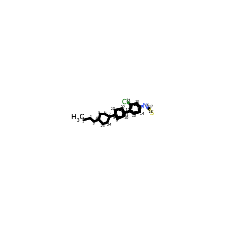 CCCCC1CCC(c2ccc(-c3ccc(N=C=S)cc3Cl)cc2)CC1